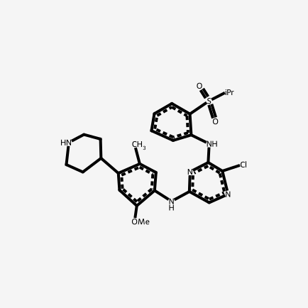 COc1cc(C2CCNCC2)c(C)cc1Nc1cnc(Cl)c(Nc2ccccc2S(=O)(=O)C(C)C)n1